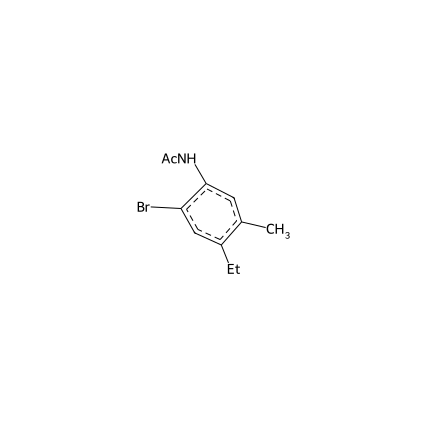 CCc1cc(Br)c(NC(C)=O)cc1C